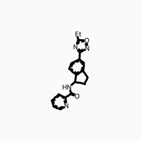 CCc1nc(-c2ccc3c(c2)CCC3NC(=O)c2ccccn2)no1